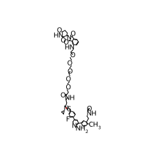 Cc1ccc(-c2cc(-c3ccc(SN(CCCNC(=O)CCOCCOCCOCCOCCOCCNc4cccc5c4C(=O)N(C4CCC(=O)NC4=O)C5=O)C4CC4)cc3F)cnc2N)cc1CCNC=O